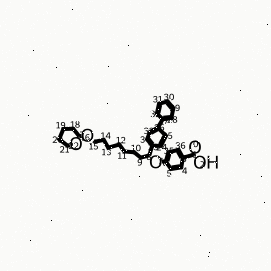 O=C(O)c1ccc(OC(CCCCCCCOC2CCCCO2)c2ccc(-c3ccccc3)cc2)cc1